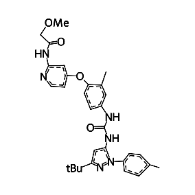 COCC(=O)Nc1cc(Oc2ccc(NC(=O)Nc3cc(C(C)(C)C)nn3-c3ccc(C)cc3)cc2C)ccn1